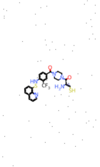 N/C(=C\S)C(=O)N1CCN(C(=O)c2ccc(NSc3cccc4cccnc34)c(C(F)(F)F)c2)CC1